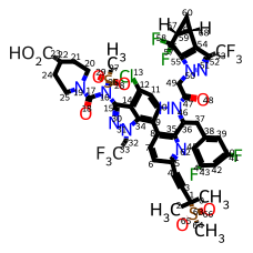 CC(C)(C#Cc1ccc(-c2ccc(Cl)c3c(N(C(=O)N4CCC(C(=O)O)CC4)S(C)(=O)=O)nn(CC(F)(F)F)c23)c(C(Cc2cc(F)cc(F)c2)NC(=O)Cn2nc(C(F)(F)F)c3c2C(F)(F)[C@@H]2C[C@H]32)n1)S(C)(=O)=O